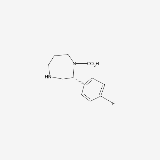 O=C(O)N1CCCNC[C@H]1c1ccc(F)cc1